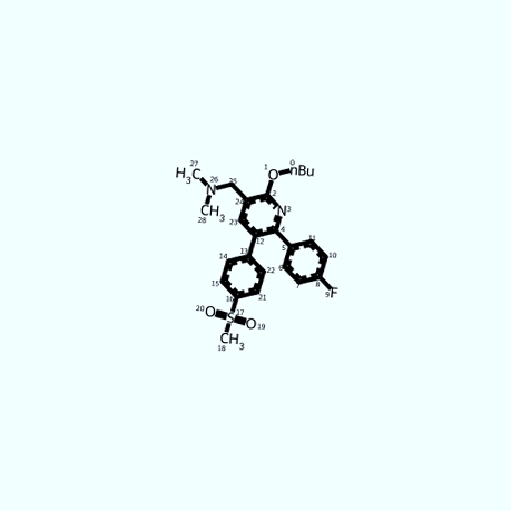 CCCCOc1nc(-c2ccc(F)cc2)c(-c2ccc(S(C)(=O)=O)cc2)cc1CN(C)C